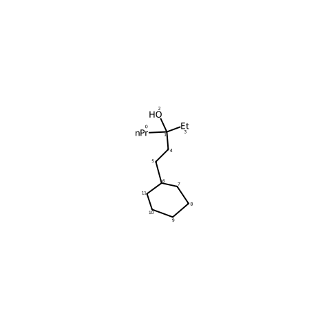 CCCC(O)(CC)CCC1CCCCC1